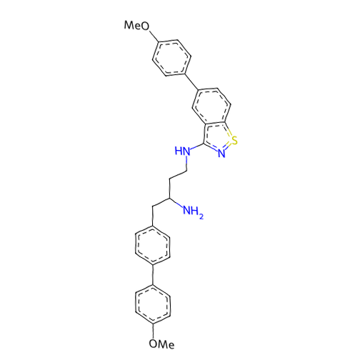 COc1ccc(-c2ccc(CC(N)CCNc3nsc4ccc(-c5ccc(OC)cc5)cc34)cc2)cc1